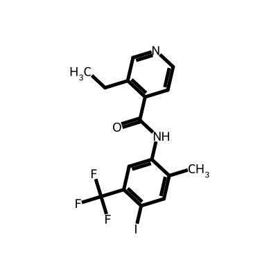 CCc1cnccc1C(=O)Nc1cc(C(F)(F)F)c(I)cc1C